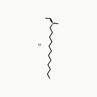 CC=[N+](C)CCCCCCCCCCCC.[Cl-]